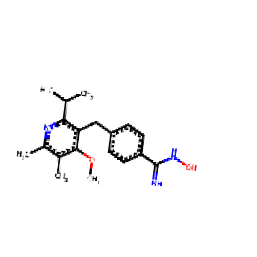 COc1c(C)c(C)nc(C(C)C)c1Cc1ccc(C(=N)NO)cc1